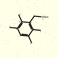 [CH2]CCCCCCc1c(C)c(C)cc(C)c1C